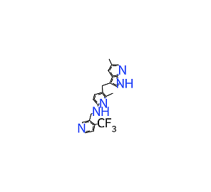 Cc1cnc2[nH]cc(Cc3ccc(NCc4cnccc4C(F)(F)F)nc3C)c2c1